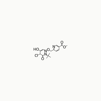 COC(=O)c1ccc(CON2C=C(O)C(Cl)C(=O)N2C(C)(C)C)nc1